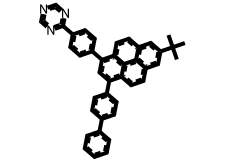 CC(C)(C)c1cc2ccc3c(-c4ccc(-c5ccccc5)cc4)cc(-c4ccc(-c5ncncn5)cc4)c4ccc(c1)c2c34